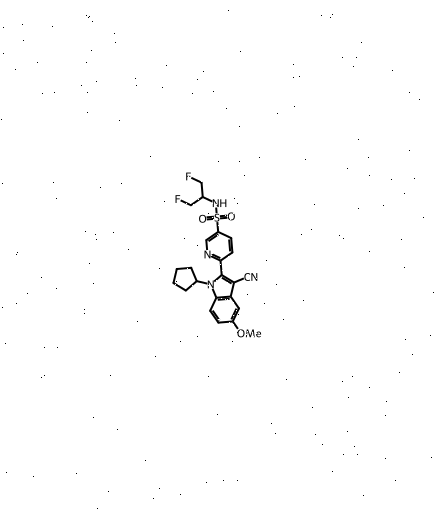 COc1ccc2c(c1)c(C#N)c(-c1ccc(S(=O)(=O)NC(CF)CF)cn1)n2C1CCCC1